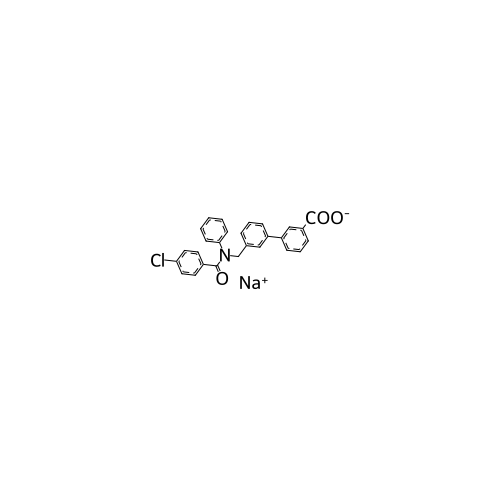 O=C([O-])c1cccc(-c2cccc(CN(C(=O)c3ccc(Cl)cc3)c3ccccc3)c2)c1.[Na+]